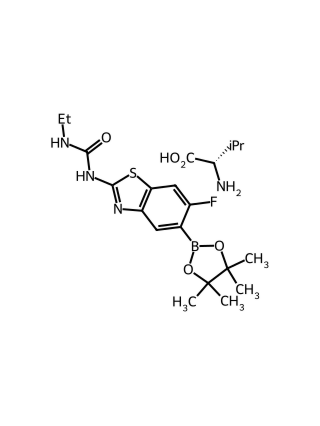 CC(C)[C@H](N)C(=O)O.CCNC(=O)Nc1nc2cc(B3OC(C)(C)C(C)(C)O3)c(F)cc2s1